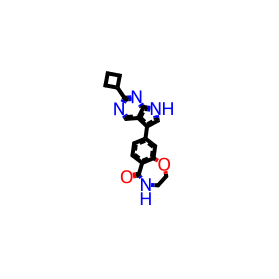 O=C1NCCOc2cc(-c3c[nH]c4nc(C5CCC5)ncc34)ccc21